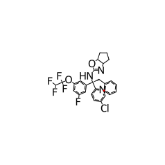 Fc1cc(OC(F)(F)C(F)F)cc([C@](Cc2ccccc2)(NC2=NC3CCCC3O2)c2ccc(Cl)cn2)c1